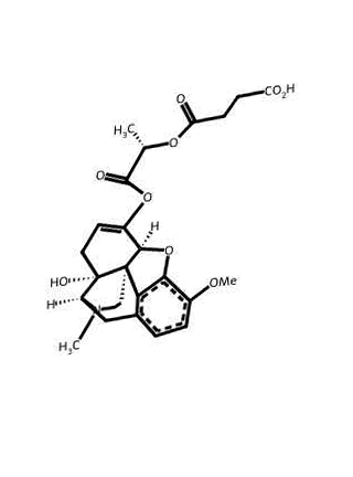 COc1ccc2c3c1O[C@@H]1C(OC(=O)[C@H](C)OC(=O)CCC(=O)O)=CC[C@]4(O)[C@H](C2)N(C)CC[C@@]314